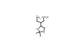 CC1(C)OCC(C(CC(=O)O)C[N+](=O)[O-])O1